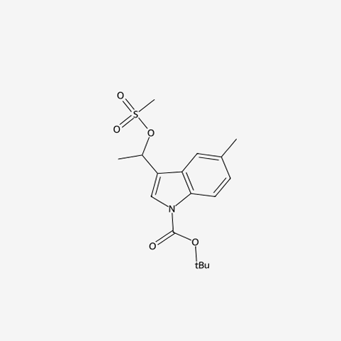 Cc1ccc2c(c1)c(C(C)OS(C)(=O)=O)cn2C(=O)OC(C)(C)C